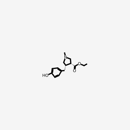 CCOC(=O)[C@H]1CN(C)C[C@H]1Cc1ccc(O)cc1